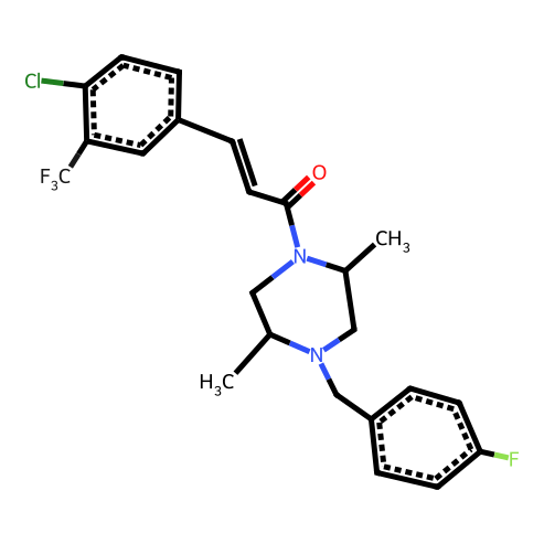 CC1CN(C(=O)/C=C/c2ccc(Cl)c(C(F)(F)F)c2)C(C)CN1Cc1ccc(F)cc1